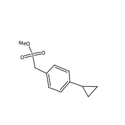 COS(=O)(=O)Cc1ccc(C2CC2)cc1